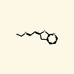 CCN=C/C=C1\Cc2cccnc2S1